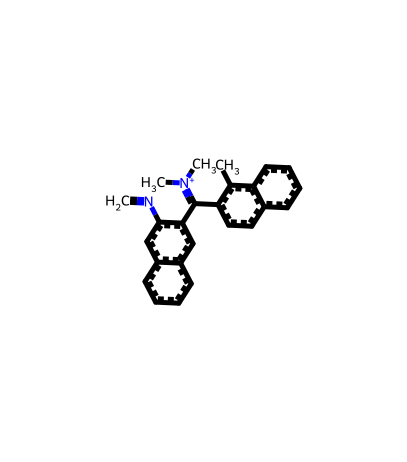 C=Nc1cc2ccccc2cc1C(c1ccc2ccccc2c1C)=[N+](C)C